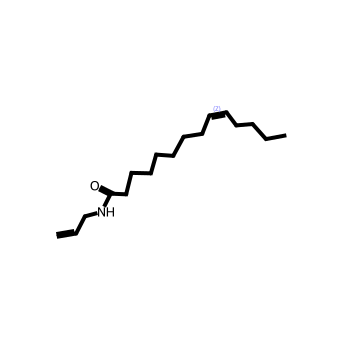 C=CCNC(=O)CCCCCCC/C=C\CCCC